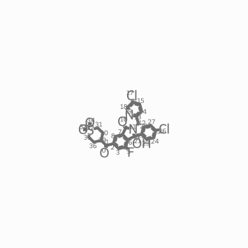 O=C(c1cc(F)c2c(c1)C(=O)N(Cc1ccc(Cl)cn1)C2(O)c1ccc(Cl)cc1)C1CCS(=O)(=O)CC1